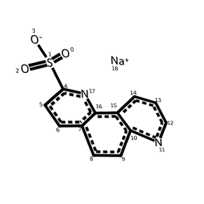 O=S(=O)([O-])c1ccc2ccc3ncccc3c2n1.[Na+]